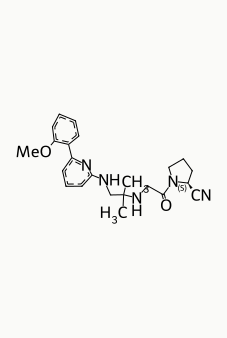 COc1ccccc1-c1cccc(NCC(C)(C)NCC(=O)N2CCC[C@H]2C#N)n1